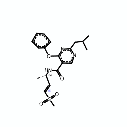 CC(C)Cc1ncc(C(=O)N[C@@H](C)/C=C/S(C)(=O)=O)c(Oc2ccccc2)n1